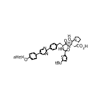 CCCCCCCOc1ccc(-c2cnc(-c3ccc(C[C@H](NC(=O)c4ccc(C(C)(C)C)s4)C(=O)N[C@@H](CC(=O)O)C(O)N4CCCC4)cc3)nc2)cc1